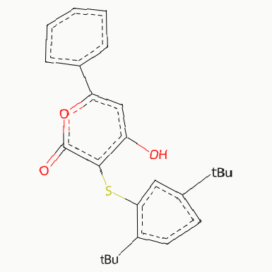 CC(C)(C)c1ccc(C(C)(C)C)c(Sc2c(O)cc(-c3ccccc3)oc2=O)c1